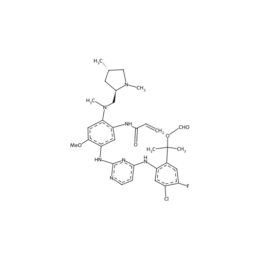 C=CC(=O)Nc1cc(Nc2nccc(Nc3cc(Cl)c(F)cc3C(C)(C)OC=O)n2)c(OC)cc1N(C)C[C@H]1C[C@H](C)CN1C